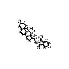 CC12CCC(=O)C=C1C=CC1C2CCC2(C)C(CCN3C(=O)c4ccccc4C3=O)CCC12